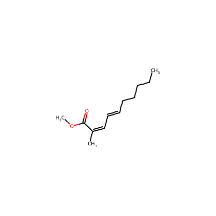 CCCCCC=CC=C(C)C(=O)OC